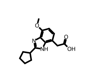 COc1ccc(CC(=O)O)c2[nH]c(C3CCCC3)nc12